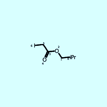 CC(C)COC(=O)CI